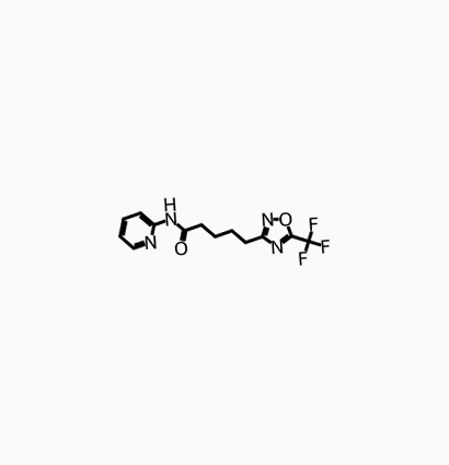 O=C(CCCCc1noc(C(F)(F)F)n1)Nc1ccccn1